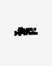 COCSC1CCN(Cc2c(F)cccc2C(=O)C2CC2)C/C1=C/C(=O)O